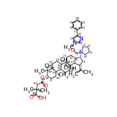 C=C(C)[C@@H]1CC[C@]2(C(=O)N3CCC[C@H]3c3nc(-c4ccccc4)cn3C)CC[C@]3(C)[C@H](CCC4[C@@]5(C)CC[C@H](OC(=O)CC(C)(C)C(=O)O)C(C)(C)C5CC[C@]43C)C12